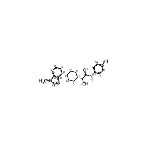 CC(C(=O)Nc1ccc(Cl)cc1)[C@H]1CC[C@@H](c2ccnc3c2ncn3C)CC1